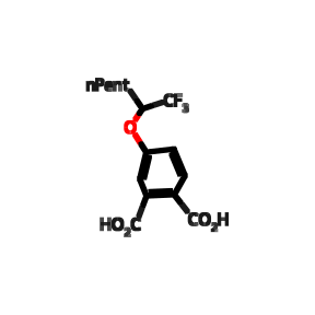 CCCCCC(Oc1ccc(C(=O)O)c(C(=O)O)c1)C(F)(F)F